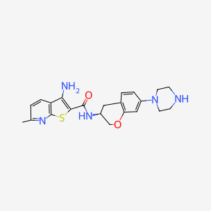 Cc1ccc2c(N)c(C(=O)N[C@@H]3COc4cc(N5CCNCC5)ccc4C3)sc2n1